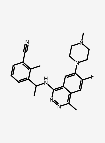 Cc1c(C#N)cccc1C(C)Nc1nnc(C)c2cc(F)c(N3CCN(C)CC3)cc12